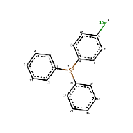 [18F]c1ccc([S+](c2ccccc2)c2ccccc2)cc1